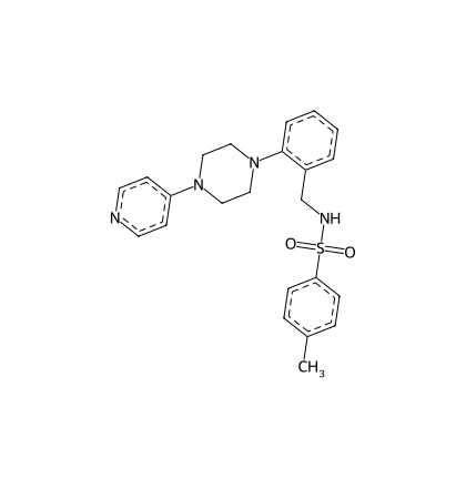 Cc1ccc(S(=O)(=O)NCc2ccccc2N2CCN(c3ccncc3)CC2)cc1